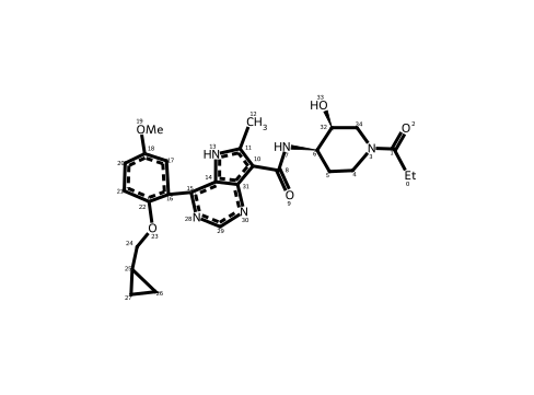 CCC(=O)N1CC[C@@H](NC(=O)c2c(C)[nH]c3c(-c4cc(OC)ccc4OCC4CC4)ncnc23)[C@@H](O)C1